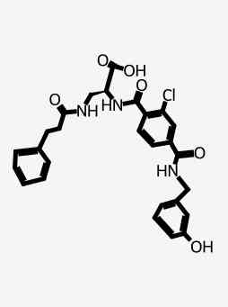 O=C(CCc1ccccc1)NC[C@H](NC(=O)c1ccc(C(=O)NCc2cccc(O)c2)cc1Cl)C(=O)O